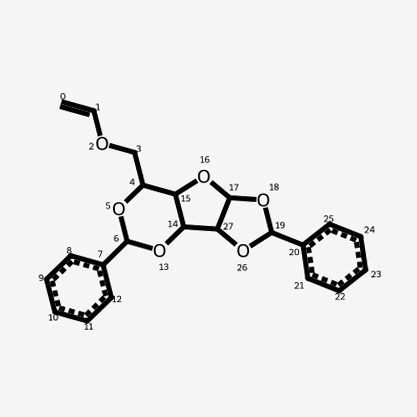 C=COCC1OC(c2ccccc2)OC2C1OC1OC(c3ccccc3)OC12